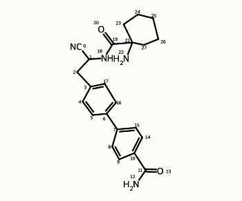 N#CC(Cc1ccc(-c2ccc(C(N)=O)cc2)cc1)NC(=O)C1(N)CCCCC1